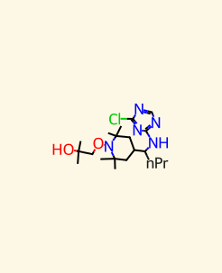 CCCC(Nc1ncnc(Cl)n1)C1CC(C)(C)N(OCC(C)(C)O)C(C)(C)C1